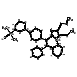 C=C/C=c1/nc2c(-c3ccc(-c4cccc(P(C)(C)=O)c4)cc3)c(-c3ccccc3)c3ccccc3n2/c1=C/C